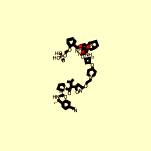 CC(C)C(C(=O)N1CCC[C@H]1C(=O)N[C@@H](C)c1ccc(C#N)cc1)c1cc(OCCN2CCC(O[C@H]3C[C@H](Oc4cc(N5C6CCC5CN(c5cc(-c7ccccc7OCOP(=O)(O)O)nnc5N)C6)ccn4)C3)CC2)no1